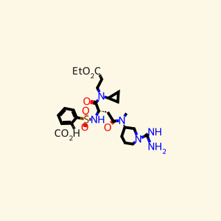 CCOC(=O)CCN(C(=O)[C@H](CC(=O)N(C)[C@H]1CCCN(C(=N)N)C1)NS(=O)(=O)c1ccccc1C(=O)O)C1CC1